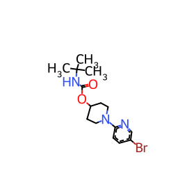 CC(C)(C)NC(=O)OC1CCN(c2ccc(Br)cn2)CC1